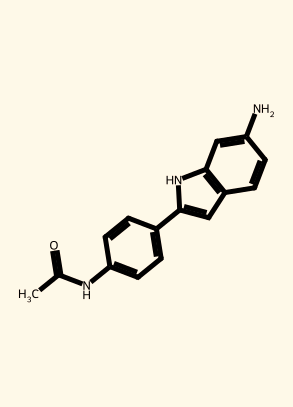 CC(=O)Nc1ccc(-c2cc3ccc(N)cc3[nH]2)cc1